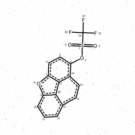 O=S(=O)(Oc1ccc2oc3cccc4ccc1c2c43)C(F)(F)F